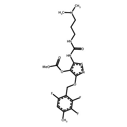 COC(=O)Oc1c(OCc2c(F)cc(C)c(F)c2F)nsc1NC(=O)NCCCN(C)C